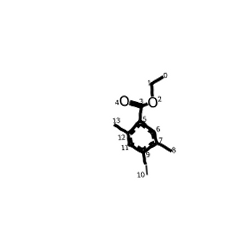 CCOC(=O)c1cc(C)c(I)cc1C